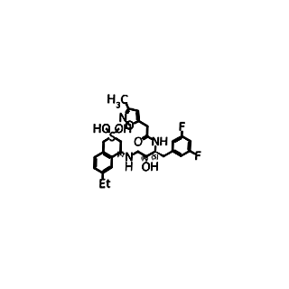 CCc1ccc2c(c1)[C@@H](NC[C@@H](O)[C@H](Cc1cc(F)cc(F)c1)NC(=O)Cc1cc(C)no1)CS(O)(O)C2